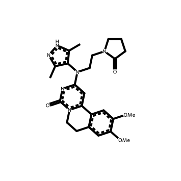 COc1cc2c(cc1OC)-c1cc(N(CCN3CCCC3=O)c3c(C)n[nH]c3C)nc(=O)n1CC2